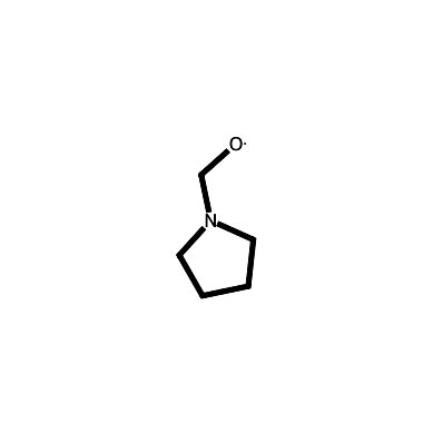 [O]CN1CCCC1